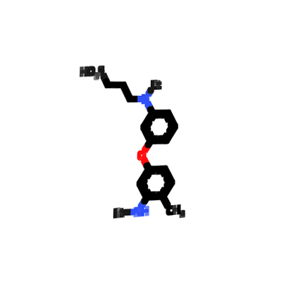 CCNc1cc(Oc2cccc(N(CC)CCCS(=O)(=O)O)c2)ccc1C